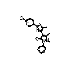 Cc1sc(-c2ccc(Cl)cc2)nc1-c1c(C)n(C)n(-c2ccccc2)c1=O